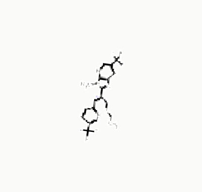 CCSC/C(=C\c1ccc(C(F)(F)F)cn1)c1nc2cc(C(F)(F)F)cnc2n1C